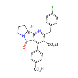 CCOC(=O)c1c(Cc2ccc(F)cc2)nc2c(c1-c1ccc(C(=O)O)cc1)C(=O)N1CCC[C@@H]21